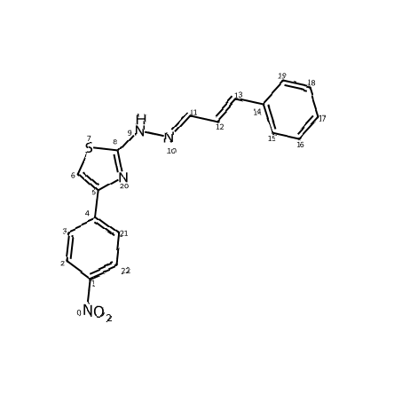 O=[N+]([O-])c1ccc(-c2csc(N/N=C/C=C/c3ccccc3)n2)cc1